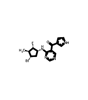 CC[C@H]1C[C@@H](Nc2ncncc2C(=O)c2cc[nH]c2)[C@@H](F)[C@@H]1C